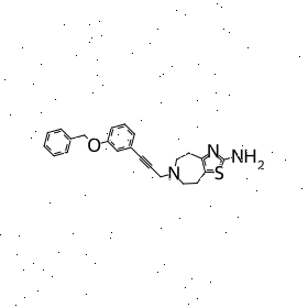 Nc1nc2c(s1)CCN(CC#Cc1cccc(OCc3ccccc3)c1)CC2